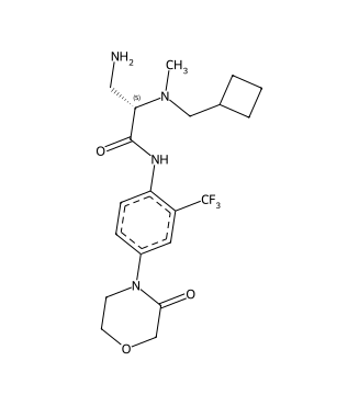 CN(CC1CCC1)[C@@H](CN)C(=O)Nc1ccc(N2CCOCC2=O)cc1C(F)(F)F